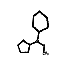 CSN(C1CCCCC1)C1CCCC1